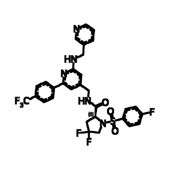 O=C(NCc1cc(NCc2cccnc2)nc(-c2ccc(C(F)(F)F)cc2)c1)[C@@H]1CC(F)(F)CN1S(=O)(=O)c1ccc(F)cc1